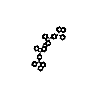 c1ccc(N(c2ccc(-n3c4ccccc4c4c5sc6c(ccc7c6c6ccccc6n7-c6ccc(N(c7ccccc7)c7cccc8ccccc78)cc6)c5ccc43)cc2)c2cccc3ccccc23)cc1